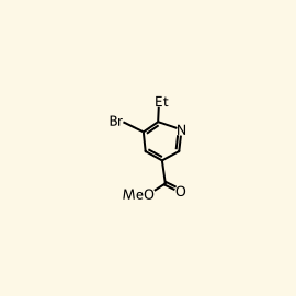 CCc1ncc(C(=O)OC)cc1Br